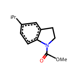 COC(=O)N1CCc2cc(C(C)C)ccc21